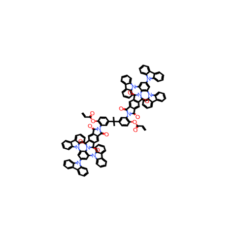 C=CC(=O)Oc1ccc(C(C)(C)c2ccc(OC(=O)C=C)c(-n3c(=O)c4cc5c(=O)n(-c6c(-n7c8ccccc8c8ccccc87)cc(-n7c8ccccc8c8ccccc87)cc6-n6c7ccccc7c7ccccc76)c(=O)c5cc4c3=O)c2)cc1-n1c(=O)c2cc3c(=O)n(-c4c(-n5c6ccccc6c6ccccc65)cc(-n5c6ccccc6c6ccccc65)cc4-n4c5ccccc5c5ccccc54)c(=O)c3cc2c1=O